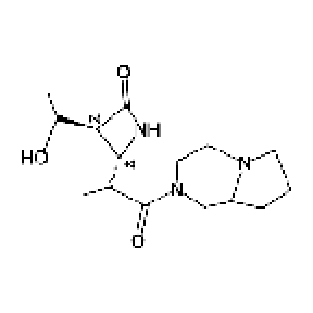 CC(C(=O)N1CCN2CCCC2C1)[C@H]1NC(=O)[C@@H]1C(C)O